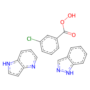 O=C(OO)c1cccc(Cl)c1.c1ccc2[nH]ncc2c1.c1cnc2cc[nH]c2c1